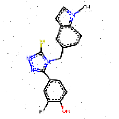 CC(C)c1cc(-c2nnc(S)n2Cc2ccc3c(ccn3C)c2)ccc1O